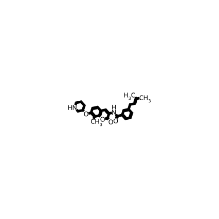 CC(C)=CCc1[c]ccc(C(=O)Nc2cc3ccc(OC4CCCNC4)c(C)c3oc2=O)c1